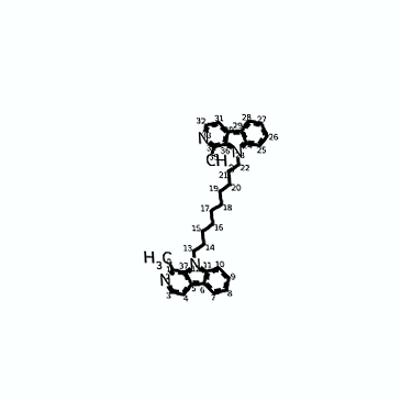 Cc1nccc2c3ccccc3n(CCCCCCCCCCn3c4ccccc4c4ccnc(C)c43)c12